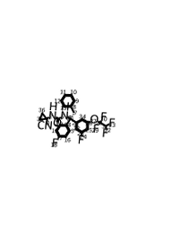 N#CC1(NC(=O)N[C@](Cc2ccccc2)(c2ccc(F)cc2)c2cc(F)cc(OC(F)(F)C(F)F)c2)CC1